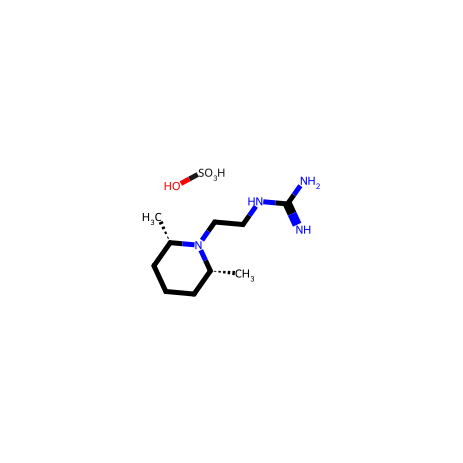 C[C@@H]1CCC[C@H](C)N1CCNC(=N)N.O=S(=O)(O)O